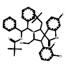 CC(C)(C)CC1N(C(c2ccccc2)C(OC(=O)C(C)(C)C)c2ccccc2)C(CBr)C(c2cccc(Cl)c2F)C12C(=O)Nc1cc(Cl)ccc12